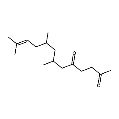 CC(=O)CCC(=O)CC(C)CC(C)CC=C(C)C